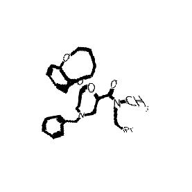 CC(C)CN(C)C(=O)C1CN(Cc2ccccc2)CCO1.c1cc2c3cc1C(CCCO2)O3